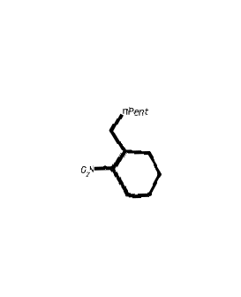 CCCCCCC1CCCCC1[N+](=O)[O-]